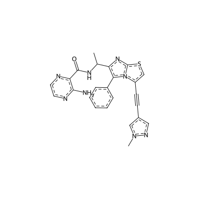 CC(NC(=O)c1nccnc1N)c1nc2scc(C#Cc3cnn(C)c3)n2c1-c1ccccc1